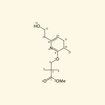 COC(=O)C(C)(C)COC1=NC(CCO)=CCC1C